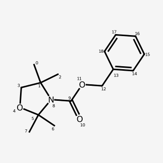 CC1(C)COC(C)(C)N1C(=O)OCc1ccccc1